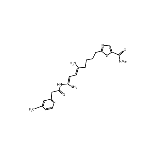 CNC(=O)c1nnc(CCCC/C(N)=C/C=C(\N)NC(=O)Cc2cc(C(F)(F)F)ccn2)s1